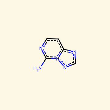 Nc1nccc2ncnn12